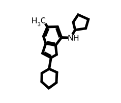 Cc1cc2c(c(NC3CCCC3)c1)CC(C1CCCCC1)=C2